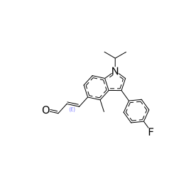 Cc1c(/C=C/C=O)ccc2c1c(-c1ccc(F)cc1)cn2C(C)C